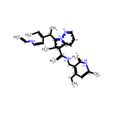 C=CN/C=C\C(=C/C)C(C)c1c(C)c(C(=C)NCC2=C(CC)C=C(C)NC2=C)c2cccnn12